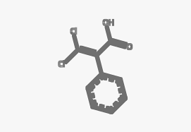 O=C(O)C(=C(Cl)Cl)c1ccccc1